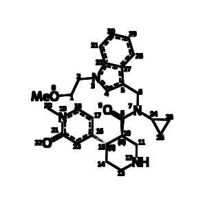 COCCn1cc(CN(C(=O)[C@H]2CNCC[C@@H]2c2ccn(C)c(=O)c2)C2CC2)c2ccccc21